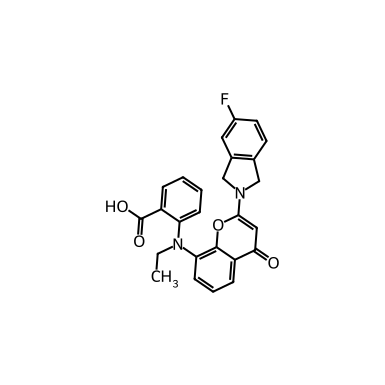 CCN(c1ccccc1C(=O)O)c1cccc2c(=O)cc(N3Cc4ccc(F)cc4C3)oc12